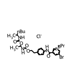 CCCCC(C)NC(=O)OC(C)NC(=O)OCCc1ccc(NC(=O)c2cc(Br)c[n+](CCC)c2)cc1.[Cl-]